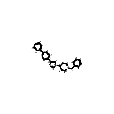 c1ccc(CN2CCC(n3cnc(-c4ccc(-c5ccccc5)nc4)c3)CC2)cc1